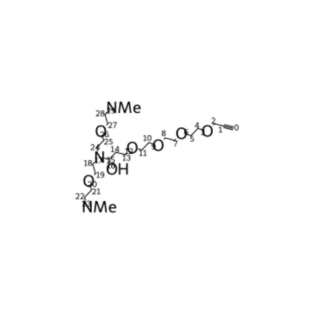 C#CCOCCOCCOCCOCCC(O)N(CCOCCNC)CCOCCNC